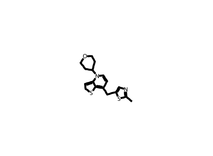 Cc1ncc(CC2=C3SCC=C3N(C3CCOCC3)C=C2)s1